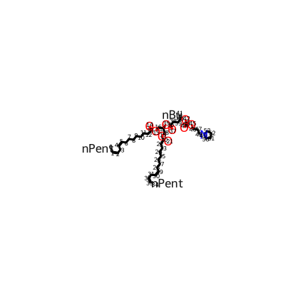 CCCCC/C=C\C/C=C\CCCCCCCC(=O)OCC(COC(=O)CCCCCCC/C=C\C/C=C\CCCCC)OC(=O)CCC(CCCC)OC(=O)OCCCN1CCCC1